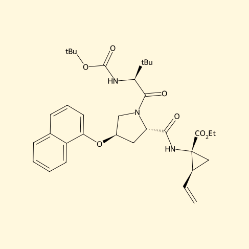 C=C[C@@H]1C[C@]1(NC(=O)[C@@H]1C[C@@H](Oc2cccc3ccccc23)CN1C(=O)[C@@H](NC(=O)OC(C)(C)C)C(C)(C)C)C(=O)OCC